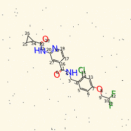 O=C(NCc1ccc(OCC(F)F)cc1Cl)c1ccnc(NC(=O)C2CC2)c1